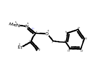 C=C(CC)/C(=N\NC)OCc1ccccc1